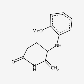 C=C1NC(=O)CCC1Nc1ccccc1OC